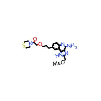 COCc1nc2c(N)nc3ccc(CCCOCC(=O)N4CCSCC4)cc3c2[nH]1